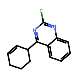 Clc1nc(C2C=CCCC2)c2ccccc2n1